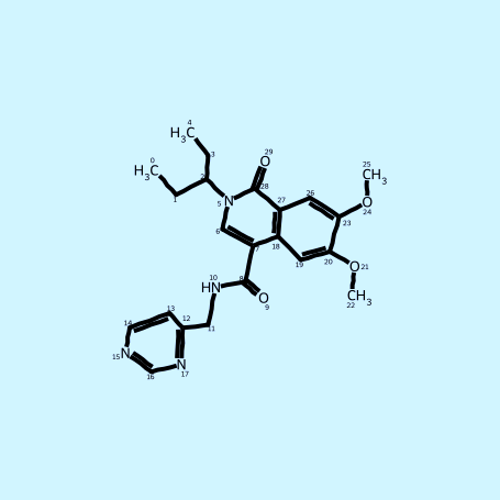 CCC(CC)n1cc(C(=O)NCc2ccncn2)c2cc(OC)c(OC)cc2c1=O